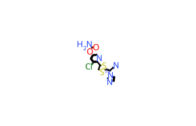 N#C/C(=C1/SCC(c2ncc(OC(N)=O)cc2Cl)S1)n1ccnc1